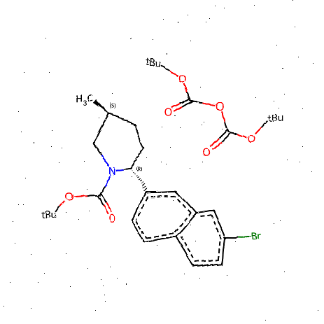 CC(C)(C)OC(=O)OC(=O)OC(C)(C)C.C[C@H]1CC[C@H](c2ccc3ccc(Br)cc3c2)N(C(=O)OC(C)(C)C)C1